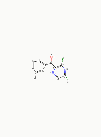 Cc1cccc(C(O)c2ncc(Cl)nc2Cl)c1